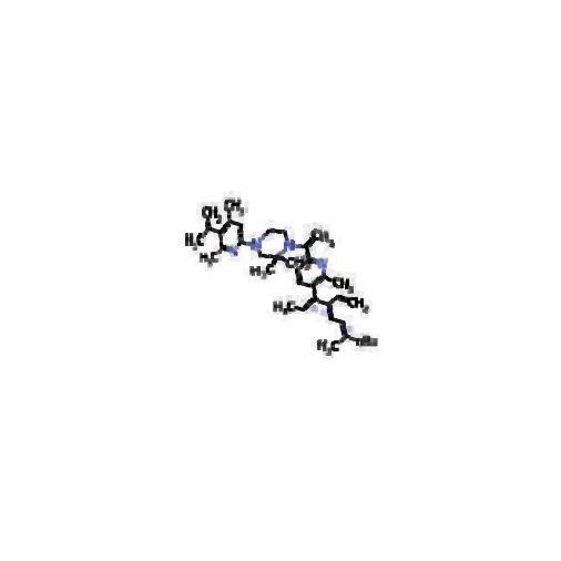 C=CC(=C\C=C(/C)CCCC)/C(=C/C)c1ccc(C(=C)N2CCN(c3cc(C)c(C(=C)C)c(C)n3)CC2(C)C)nc1C